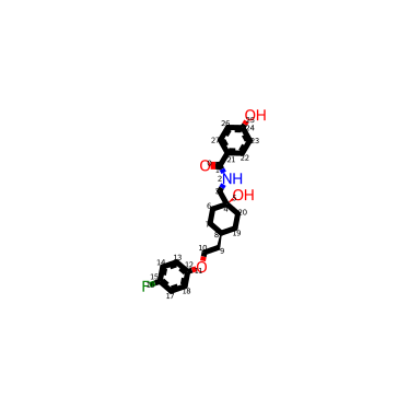 O=C(NC[C@]1(O)CC[C@H](CCOc2ccc(F)cc2)CC1)c1ccc(O)cc1